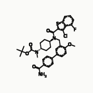 COc1ccc(-c2ccc(C(N)=O)cc2)cc1CN(C(=O)c1sc2cccc(F)c2c1Cl)[C@H]1CC[C@H](N(C)C(=O)OC(C)(C)C)CC1